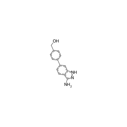 Nc1n[nH]c2cc(-c3ccc(CO)cc3)ccc12